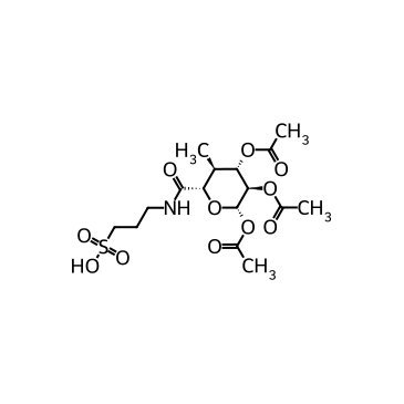 CC(=O)O[C@@H]1O[C@H](C(=O)NCCCS(=O)(=O)O)[C@@H](C)[C@H](OC(C)=O)[C@H]1OC(C)=O